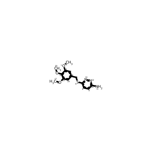 COc1cc(CSc2ccc(N)nn2)cc(OC)c1OC